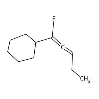 [CH2]CC=C=C(F)C1CCCCC1